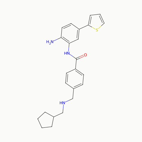 Nc1ccc(-c2cccs2)cc1NC(=O)c1ccc(CNCC2CCCC2)cc1